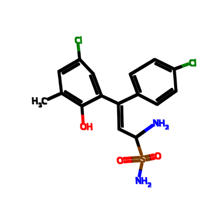 Cc1cc(Cl)cc(C(=CC(N)S(N)(=O)=O)c2ccc(Cl)cc2)c1O